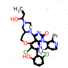 C=CC(O)N1CCN2c3nc(=O)n(-c4c(C)ccnc4C(C)C)c4nc(-c5c(O)cccc5Cl)c(Cl)c(c34)OCCC2C1